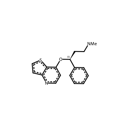 CNCC[C@H](Oc1ccnc2ccsc12)c1ccccc1